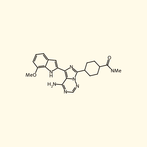 CNC(=O)C1CCC(c2nc(-c3cc4cccc(OC)c4[nH]3)c3c(N)ncnn23)CC1